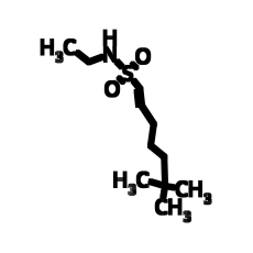 CCNS(=O)(=O)/C=C/CCCC(C)(C)C